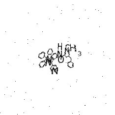 CN1CC(Cc2ccccc2)CC(C(=O)Nc2ccc3c(c2)c(-c2ccncc2)nn3C(c2ccccc2)(c2ccccc2)c2ccccc2)C1